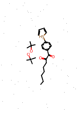 CC(C)(C)OOC(C)(C)C.CCCCCCC(=O)C(=O)c1ccc([SH]2C=CC=C2)cc1